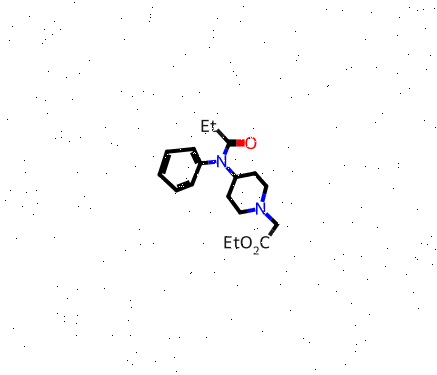 CCOC(=O)CN1CCC(N(C(=O)CC)c2ccccc2)CC1